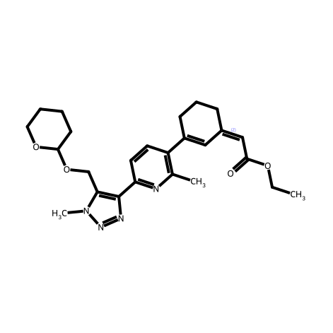 CCOC(=O)/C=C1\C=C(c2ccc(-c3nnn(C)c3COC3CCCCO3)nc2C)CCC1